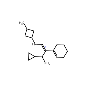 CC1CC(N/C=C(/C2=CCCCC2)C(N)C2CC2)C1